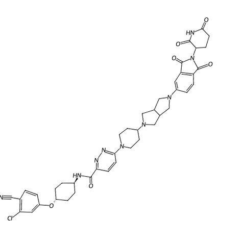 N#Cc1ccc(O[C@H]2CC[C@H](NC(=O)c3ccc(N4CCC(N5CC6CN(c7ccc8c(c7)C(=O)N(C7CCC(=O)NC7=O)C8=O)CC6C5)CC4)nn3)CC2)cc1Cl